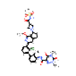 COc1nc(-c2cccc(-c3cccc(NC(=O)c4nn(C)c(=O)n(C)c4=O)c3C)c2Cl)cc2c1C(N1CC(C(=O)NS(C)(=O)=O)C1)CC2